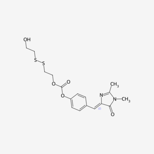 CC1=N/C(=C\c2ccc(OC(=O)OCCSSCCO)cc2)C(=O)N1C